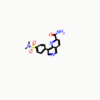 CN(C)S(=O)(=O)c1ccc(-c2cncc3ccc(C(N)=O)nc23)cc1